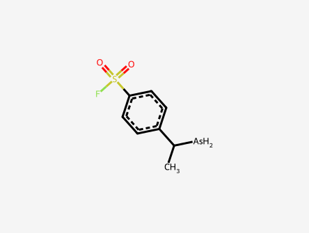 CC([AsH2])c1ccc(S(=O)(=O)F)cc1